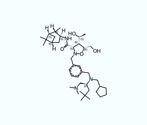 C[C@@H]1[C@@H](NC(=O)[C@@H]2[C@H]([C@H](C)O)[C@H](CO)ON2Cc2cccc(CN(CC3CCCC3)[C@H](CN(C)C)CC(C)(C)C)c2)C[C@H]2C[C@@H]1C2(C)C